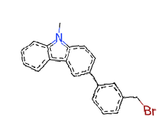 Cn1c2ccccc2c2cc(-c3cccc(CBr)c3)ccc21